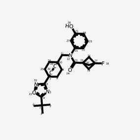 CC(C)(C)c1nc(C23CCC(CN(C(=O)C45CC(F)(C4)C5)c4cccc(O)c4)(CC2)CC3)no1